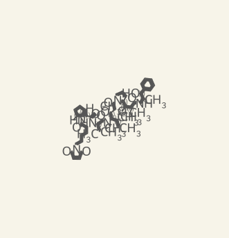 CC[C@H](C)[C@@H]([C@H](CC(=O)N1CCC[C@H]1[C@H](OC)[C@@H](C)C(=O)N[C@H](C)[C@H](O)c1ccccc1)OC)N(C)C(=O)[C@@H](NC(=O)[C@@H]1[C@H]2CC[C@H](C2)N1C(=O)CCCCCN1C(=O)C=CC1=O)C(C)C